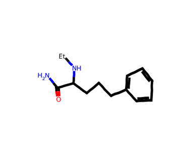 CCNC(CCCc1ccccc1)C(N)=O